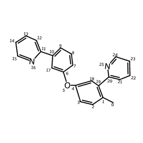 Cc1ccc(Oc2cccc(-c3ccccn3)c2)cc1-c1ccccn1